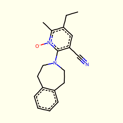 CCc1cc(C#N)c(N2CCc3ccccc3CC2)[n+]([O-])c1C